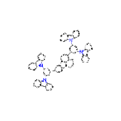 c1cc2c3c(ccc(-c4cc(-n5c6ccccc6c6ccccc65)cc(-n5c6ccccc6c6ccccc65)c4)c3c1)-c1cc(-c3cc(-n4c5ccccc5c5ccccc54)cc(-n4c5ccccc5c5ccccc54)c3)ccc1-2